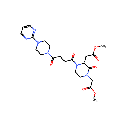 COC(=O)C[C@H]1C(=O)N(CC(=O)OC)CCN1C(=O)CCC(=O)N1CCN(c2ncccn2)CC1